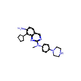 CN(c1ccc(N2CCNCC2)cc1)c1ncc2ccc(N)c(C3CCCC3)c2n1